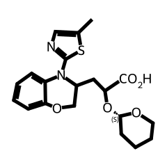 Cc1cnc(N2c3ccccc3OCC2CC(O[C@H]2CCCCO2)C(=O)O)s1